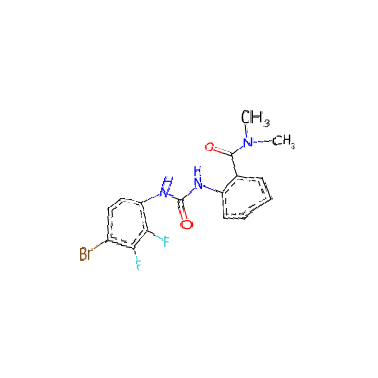 CN(C)C(=O)c1ccccc1NC(=O)Nc1ccc(Br)c(F)c1F